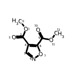 COC(=O)c1cnoc1C(=O)OC